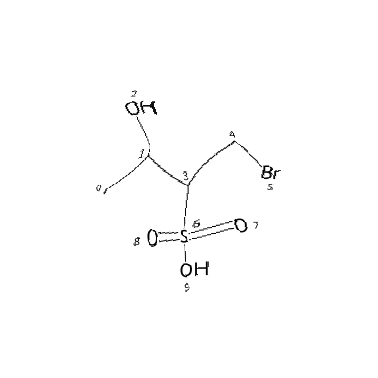 CC(O)C(CBr)S(=O)(=O)O